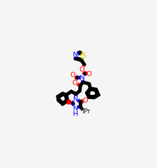 CC(C)C1NC(=O)N(C(Cc2ccccc2)CC2OC(=O)N(C(=O)OCc3cncs3)C2Cc2ccccc2)C1=O